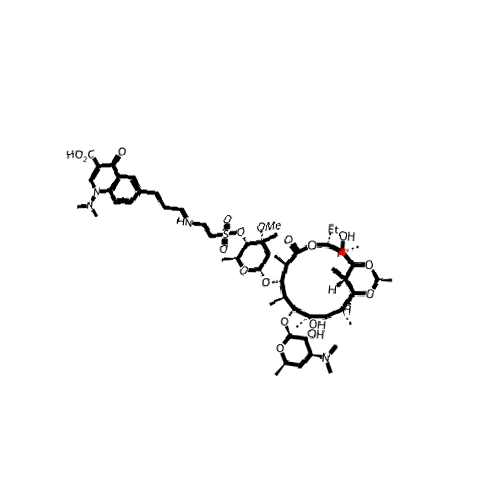 CC[C@H]1OC(=O)[C@H](C)[C@@H](O[C@H]2C[C@@](C)(OC)[C@@H](OS(=O)(=O)CCNCCCc3ccc4c(c3)c(=O)c(C(=O)O)cn4N(C)C)[C@H](C)O2)[C@H](C)[C@@H](O[C@@H]2O[C@H](C)C[C@H](N(C)C)[C@H]2O)[C@](C)(O)C[C@@H](C)[C@@H]2O[C@H](C)O[C@H]([C@H]2C)[C@]1(C)O